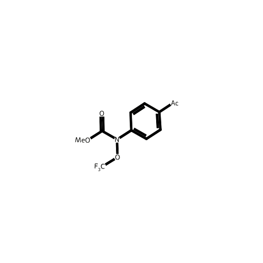 COC(=O)N(OC(F)(F)F)c1ccc(C(C)=O)cc1